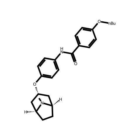 CCCCOc1ccc(C(=O)Nc2ccc(O[C@@H]3C[C@H]4CC[C@@H](C3)N4C)cc2)cc1